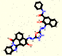 O=C(Nc1ccccc1)c1cc2ccccc2c(N=NC2NNC(N=Nc3c(O)cc4c5c3cccc5c(=O)n3c5ccccc5nc43)O2)c1O